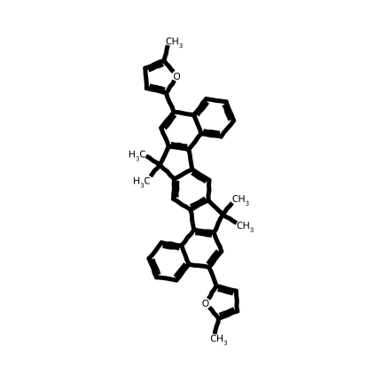 Cc1ccc(-c2cc3c(c4ccccc24)-c2cc4c(cc2C3(C)C)-c2c(cc(-c3ccc(C)o3)c3ccccc23)C4(C)C)o1